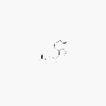 C[C@H](COC(=O)C(C)(C)C)[C@H]1CCC2C(=O)CCC[C@@]21C